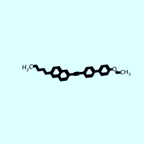 CCCCCc1ccc2cc(C#Cc3ccc(-c4ccc(OCC)cc4)cc3)ccc2c1